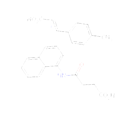 Cc1ccc(/C=C/C(=O)O)cc1.O=C(O)CCC(=O)Nc1cccc2ccccc12